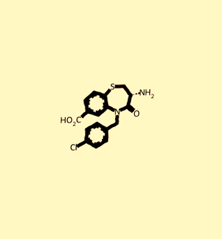 N[C@H]1CSc2ccc(C(=O)O)cc2N(Cc2ccc(Cl)cc2)C1=O